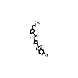 CSCc1ccc(C(=O)NC23CC(c4nc5cnc(Cl)cc5o4)(C2)C3)o1